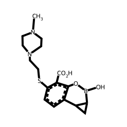 CN1CCN(CCSc2ccc3c(c2C(=O)O)OB(O)C2CC32)CC1